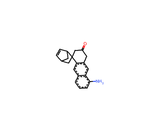 Nc1cccc2cc3c(cc12)CC(=O)CC31CC2C=CC1C2